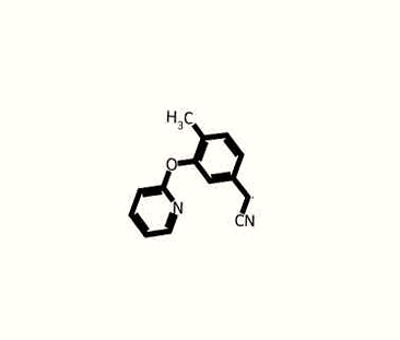 Cc1ccc([CH]C#N)cc1Oc1ccccn1